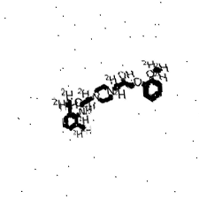 [2H]C([2H])([2H])Oc1ccccc1OCC(O)C([2H])([2H])N1CCN(C([2H])([2H])C(=O)Nc2c(C([2H])([2H])[2H])cccc2C([2H])([2H])[2H])CC1